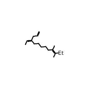 C=CC/C(=C/C)CCCCC/C(C)=C(\C)CC